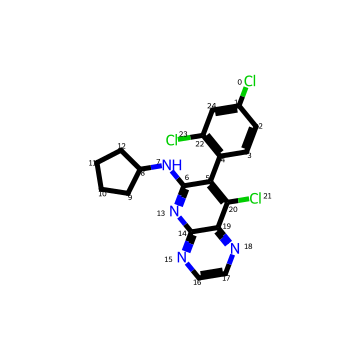 Clc1ccc(-c2c(NC3CCCC3)nc3nccnc3c2Cl)c(Cl)c1